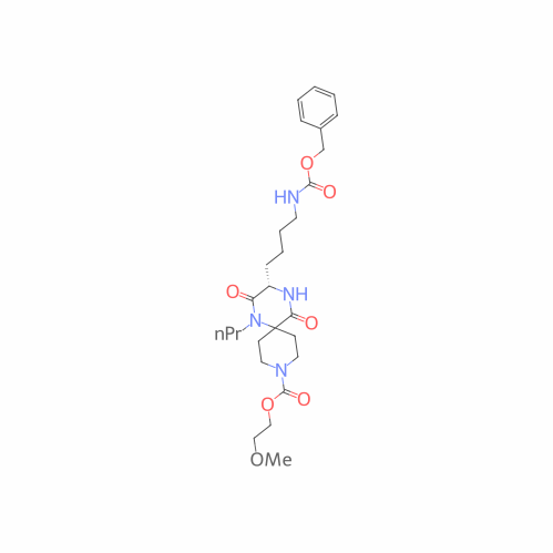 CCCN1C(=O)[C@H](CCCCNC(=O)OCc2ccccc2)NC(=O)C12CCN(C(=O)OCCOC)CC2